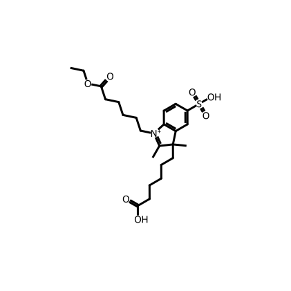 CCOC(=O)CCCCC[N+]1=C(C)C(C)(CCCCCC(=O)O)c2cc(S(=O)(=O)O)ccc21